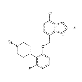 [2H]N1CCC(c2c(F)cccc2OCc2ccc(Cl)c3cc(F)oc23)CC1